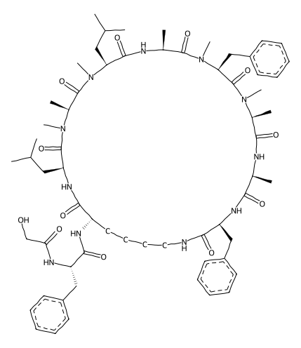 CC(C)C[C@@H]1NC(=O)[C@@H](NC(=O)[C@H](Cc2ccccc2)NC(=O)CO)CCCCNC(=O)[C@H](Cc2ccccc2)NC(=O)[C@H](C)NC(=O)[C@H](C)N(C)C(=O)[C@H](Cc2ccccc2)N(C)C(=O)[C@H](C)NC(=O)[C@H](CC(C)C)N(C)C(=O)[C@H](C)N(C)C1=O